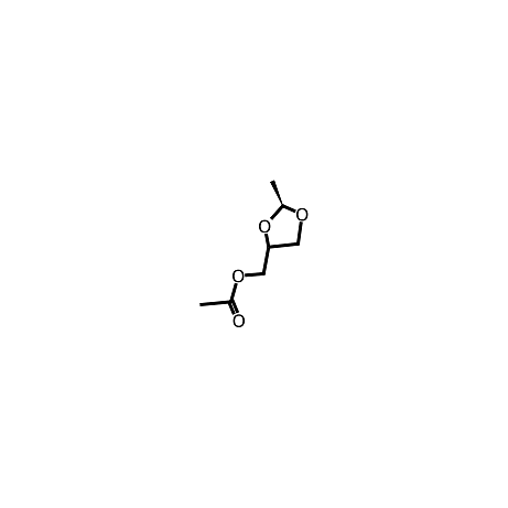 CC(=O)OCC1CO[C@H](C)O1